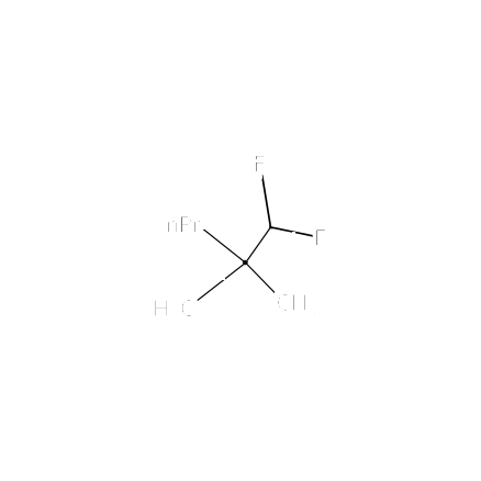 CC[CH]C(C)(C)C(F)F